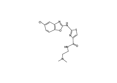 CN(C)CCNC(=O)c1csc(Nc2nc3cc(Cl)ccc3o2)n1